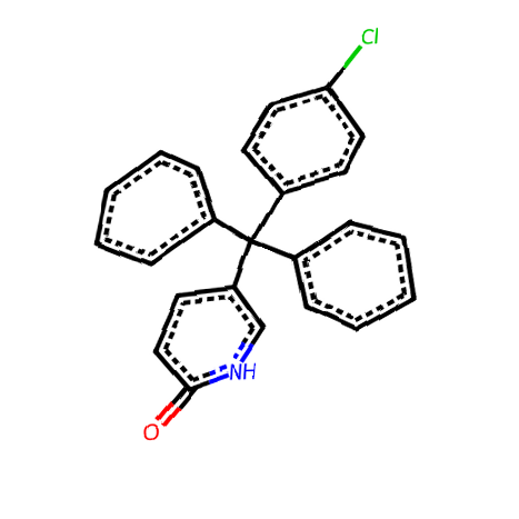 O=c1ccc(C(c2ccccc2)(c2ccccc2)c2ccc(Cl)cc2)c[nH]1